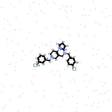 Clc1ccc(CN2CC3=C(CCN(Cc4cccc(Cl)c4)C3)n3cccc32)cc1